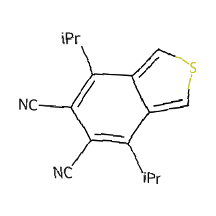 CC(C)c1c(C#N)c(C#N)c(C(C)C)c2cscc12